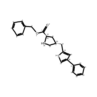 O=C(OCc1ccccc1)[C@H]1C[C@H](Cc2cc(-c3ccccc3)cs2)CN1